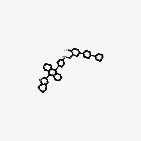 N=C1C=CC(c2ccc(-c3ccccc3)cc2)=C/C1=N/Nc1ccc(-c2c3ccccc3c(-c3cnc4ccccc4c3)c3ccccc23)cc1